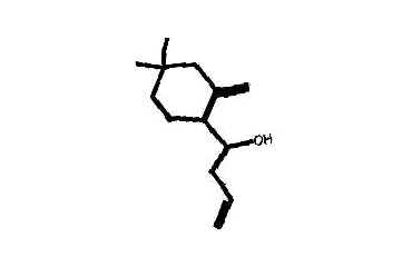 C=CCC(O)C1CCC(C)(C)CC1=C